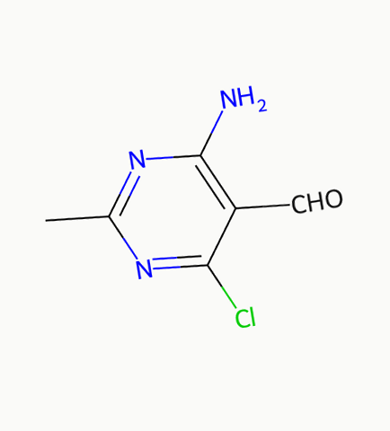 Cc1nc(N)c(C=O)c(Cl)n1